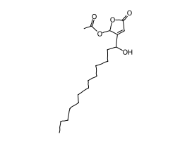 CCCCCCCCCCCCC(O)C1=CC(=O)OC1OC(C)=O